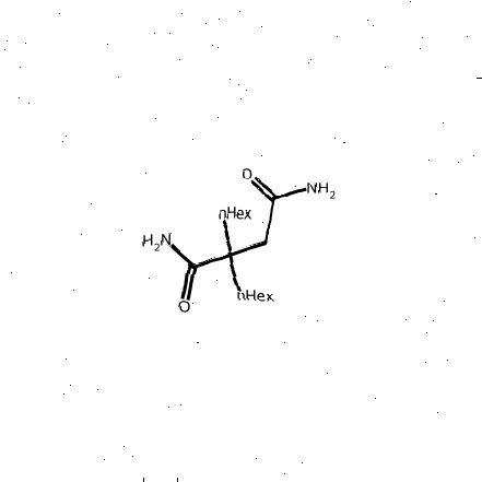 CCCCCCC(CCCCCC)(CC(N)=O)C(N)=O